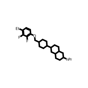 CCCC1CCC2CC(C3CCC(COc4ccc(CC)c(F)c4F)CC3)CCC2C1